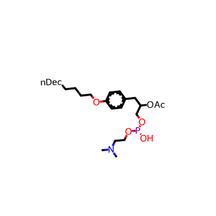 CCCCCCCCCCCCCCOc1ccc(CC(COP(O)OCCN(C)C)OC(C)=O)cc1